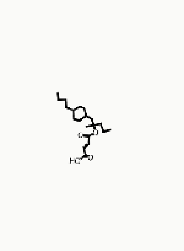 CCCCC1CCC(CC(C)(CCC)OC(=O)/C=C/C(=O)O)CC1